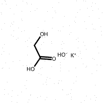 O=C(O)CO.[K+].[OH-]